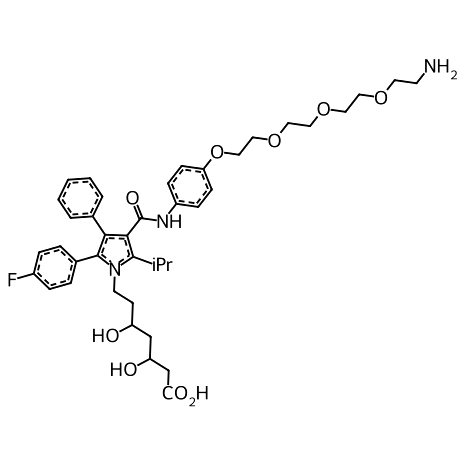 CC(C)c1c(C(=O)Nc2ccc(OCCOCCOCCOCCN)cc2)c(-c2ccccc2)c(-c2ccc(F)cc2)n1CCC(O)CC(O)CC(=O)O